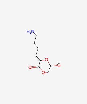 NCCCCC1OC(=O)COC1=O